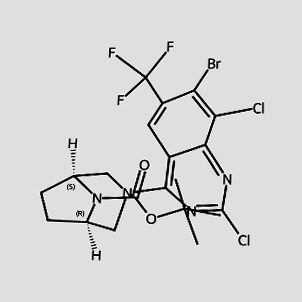 CC(C)(C)OC(=O)N1[C@@H]2CC[C@H]1CN(c1nc(Cl)nc3c(Cl)c(Br)c(C(F)(F)F)cc13)C2